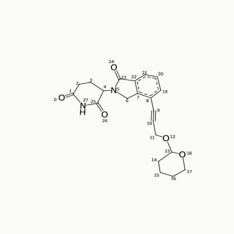 O=C1CCC(N2Cc3c(C#CCOC4CCCCO4)cccc3C2=O)C(=O)N1